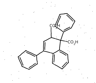 O=C(O)C1C=C(c2ccccc2)c2ccccc2C1(C(=O)O)c1ccccc1